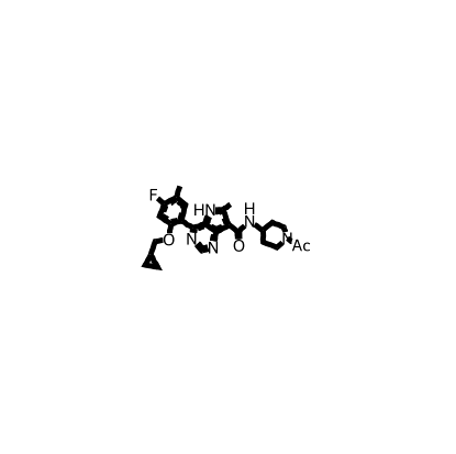 CC(=O)N1CCC(NC(=O)c2c(C)[nH]c3c(-c4cc(C)c(F)cc4OCC4CC4)ncnc23)CC1